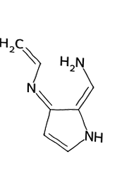 C=C/N=C1/C=CN/C1=C/N